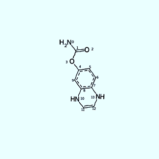 NC(=O)Oc1ccc2c(c1)NC=CN2